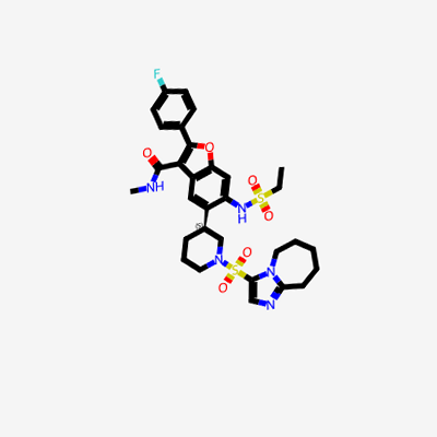 CCS(=O)(=O)Nc1cc2oc(-c3ccc(F)cc3)c(C(=O)NC)c2cc1[C@@H]1CCCN(S(=O)(=O)c2cnc3n2CCCCC3)C1